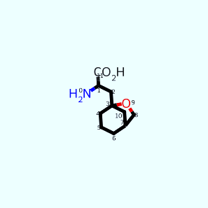 NC(CC12CCCC(CO1)C2)C(=O)O